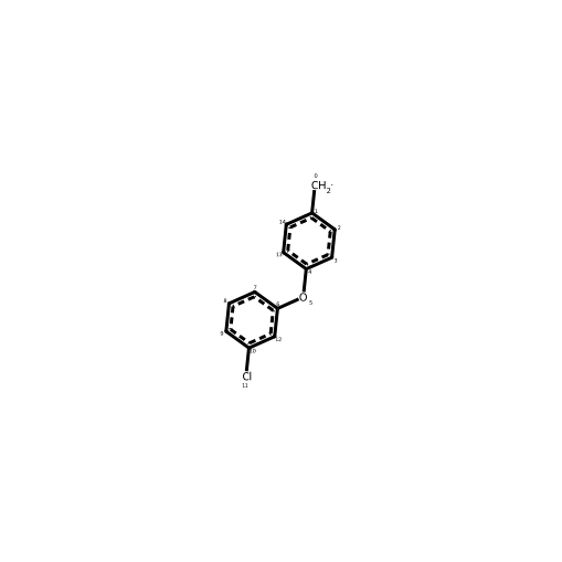 [CH2]c1ccc(Oc2cccc(Cl)c2)cc1